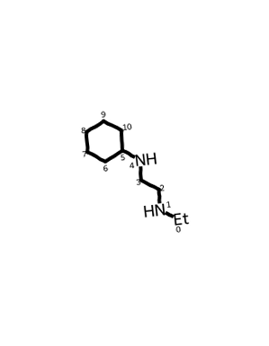 CCNCCNC1CCCCC1